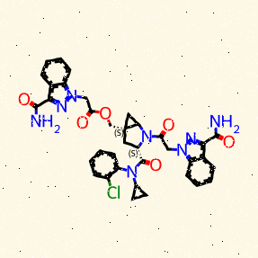 NC(=O)c1nn(CC(=O)OC[C@]23CC2N(C(=O)Cn2nc(C(N)=O)c4ccccc42)[C@H](C(=O)N(c2ccccc2Cl)C2CC2)C3)c2ccccc12